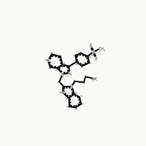 [C-]#[N+]CCCn1c(Cn2nc(-c3ccc(S(C)(=O)=O)cc3)c3ccncc32)nc2ccccc21